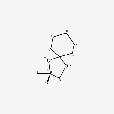 [CH2][C@]1(C)COC2(CCCCC2)O1